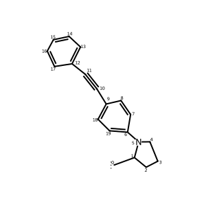 [C]C1CCCN1c1ccc(C#Cc2ccccc2)cc1